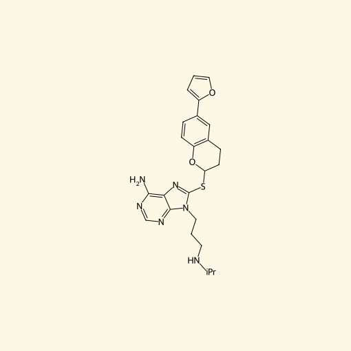 CC(C)NCCCn1c(SC2CCc3cc(-c4ccco4)ccc3O2)nc2c(N)ncnc21